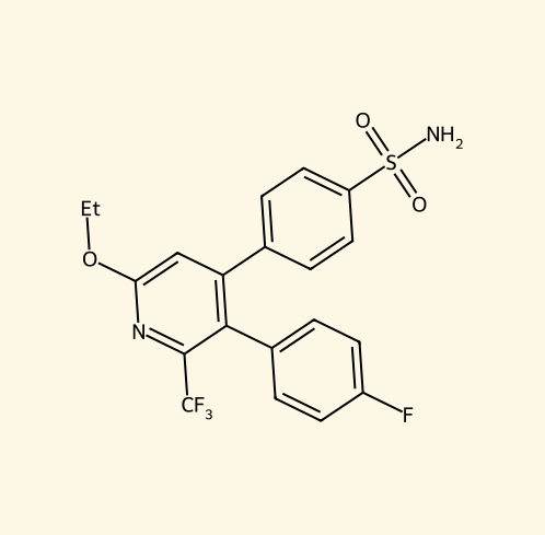 CCOc1cc(-c2ccc(S(N)(=O)=O)cc2)c(-c2ccc(F)cc2)c(C(F)(F)F)n1